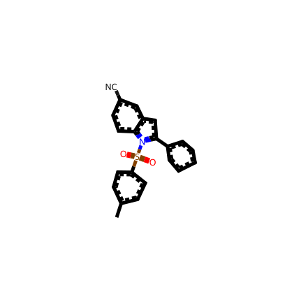 Cc1ccc(S(=O)(=O)n2c(-c3ccccc3)cc3cc(C#N)ccc32)cc1